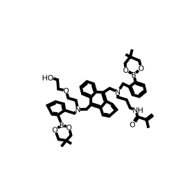 C=C(C)C(=O)NCCCN(Cc1ccccc1B1OCC(C)(C)CO1)Cc1c2ccccc2c(CN(CCOCCO)Cc2ccccc2B2OCC(C)(C)CO2)c2ccccc12